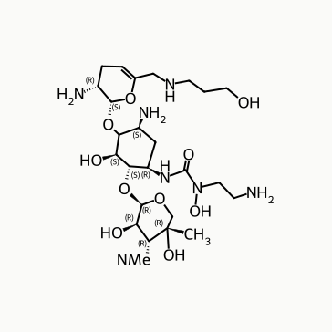 CN[C@@H]1[C@@H](O)[C@@H](O[C@H]2[C@H](NC(=O)N(O)CCN)C[C@H](N)C(O[C@H]3OC(CNCCCO)=CC[C@H]3N)[C@@H]2O)OC[C@]1(C)O